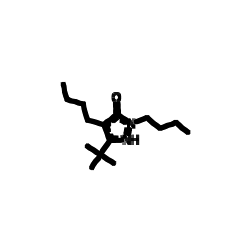 CCCCc1c(C(C)(C)C)[nH]n(CCCC)c1=O